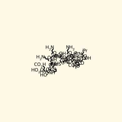 CSCC[C@H](NC(=O)[C@H](CCC(=O)O)NC(=O)[C@H](CCCCN)NC(=O)[C@@H](NC(=O)[C@@H](NC(=O)[C@@H](NC(=O)[C@H](CO)NC(=O)[C@@H](N)CC(C)C)[C@@H](C)O)[C@@H](C)O)C(C)C)C(=O)N[C@@H](CO)C(=O)N[C@@H](CCCCN)C(=O)N[C@@H](CCCCN)C(=O)N[C@@H](C)C(=O)N1CCC[C@H]1C(=O)N[C@@H](CO)C(=O)N[C@@H](CCC(=O)O)C(=O)O